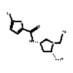 N#CCN1C[C@@H](NC(=O)c2ccc(Cl)s2)C[C@H]1C(=O)O